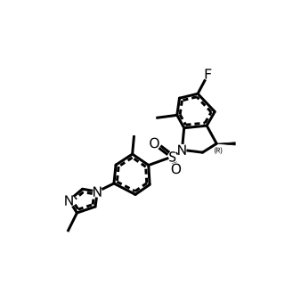 Cc1cn(-c2ccc(S(=O)(=O)N3C[C@H](C)c4cc(F)cc(C)c43)c(C)c2)cn1